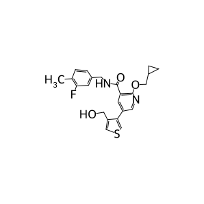 Cc1ccc(CNC(=O)c2cc(-c3cscc3CO)cnc2OCC2CC2)cc1F